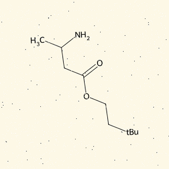 CC(N)CC(=O)OCCC(C)(C)C